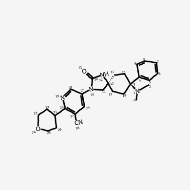 CN(C)[C@]1(c2ccccc2)CC[C@]2(CC1)CN(c1cnc(C3CCOCC3)c(C#N)c1)C(=O)N2